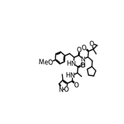 COc1ccc(CC(NC(=O)C(C)NC(=O)c2oncc2C)C(=O)NC(CC2CCCC2)C(=O)C2(C)CO2)cc1